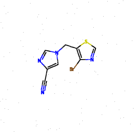 N#Cc1cn(Cc2scnc2Br)cn1